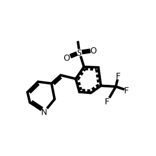 CS(=O)(=O)c1cc(C(F)(F)F)ccc1C=C1C=CC=NC1